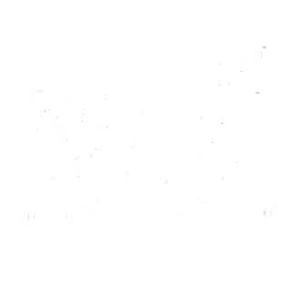 O=P(O)(O)Oc1cc(C2(OCCOC3(c4ccc(Cl)c(OP(=O)(O)O)c4)OOC34C3CC5CC4CC(Cl)(C5)C3)OOC23C2CC4CC3CC(Cl)(C4)C2)ccc1Cl